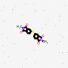 CN1C(=O)c2ccc(Sc3ccc4c(c3)C(=O)N(C)C4=O)cc2C1=O